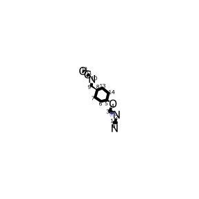 N#C/N=C/O[C@H]1CC[C@@H](CN=C=O)CC1